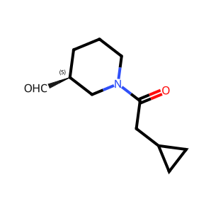 O=C[C@H]1CCCN(C(=O)CC2CC2)C1